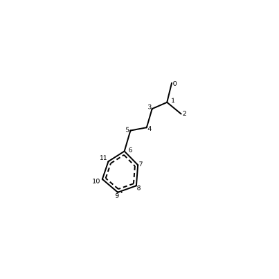 CC(C)CCCc1cc[c]cc1